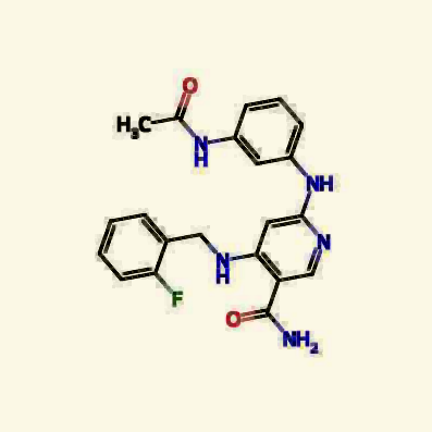 CC(=O)Nc1cccc(Nc2cc(NCc3ccccc3F)c(C(N)=O)cn2)c1